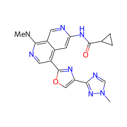 CNc1ncc(-c2nc(-c3ncn(C)n3)co2)c2cc(NC(=O)C3CC3)ncc12